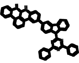 c1ccc(-c2nc(-c3ccccc3)nc(C3c4ccccc4-c4cc(-c5ccc6c(c5)-c5cccc7c5C(Nc5ccccc5-7)N6)ccc43)n2)cc1